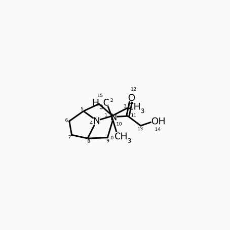 CC(C)(C)N1C2CCC1CN(C(=O)CO)C2